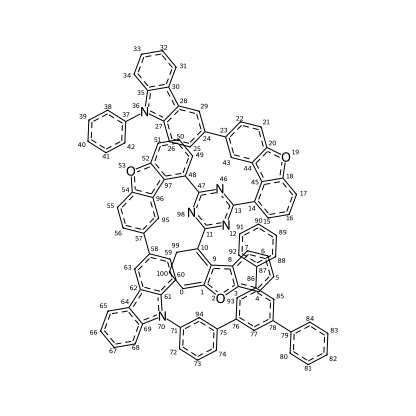 C1=c2oc3ccccc3c2=C(c2nc(-c3cccc4oc5ccc(-c6ccc7c(c6)c6ccccc6n7-c6ccccc6)cc5c34)nc(-c3cccc4oc5ccc(-c6ccc7c(c6)c6ccccc6n7-c6cccc(-c7cc(-c8ccccc8)cc(-c8ccccc8)c7)c6)cc5c34)n2)CC1